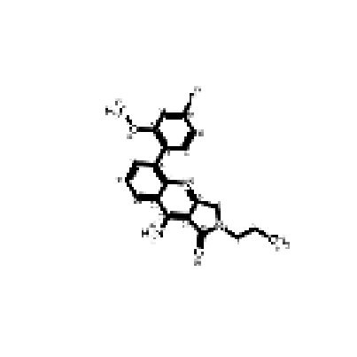 CCCN1Cc2nc3c(-c4ccc(F)cc4OC)cccc3c(N)c2C1=O